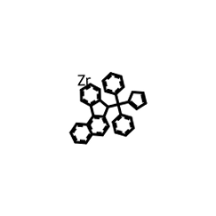 C1=CCC(C(c2ccccc2)(c2ccccc2)C2c3ccccc3-c3c2ccc2ccccc32)=C1.[Zr]